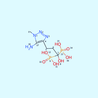 Cn1nnc(CCC(O)(P(=O)(O)O)P(=O)(O)O)c1N